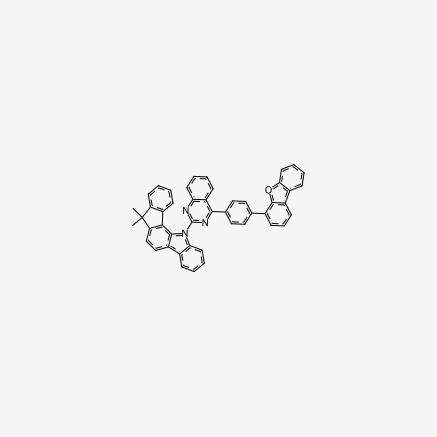 CC1(C)c2ccccc2-c2c1ccc1c3ccccc3n(-c3nc(-c4ccc(-c5cccc6c5oc5ccccc56)cc4)c4ccccc4n3)c21